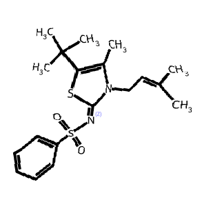 CC(C)=CCn1c(C)c(C(C)(C)C)s/c1=N\S(=O)(=O)c1ccccc1